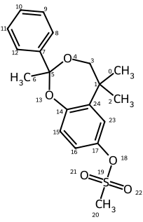 CC1(C)COC(C)(c2ccccc2)Oc2ccc(OS(C)(=O)=O)cc21